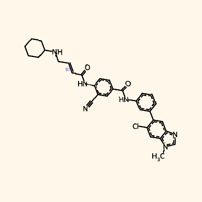 Cn1cnc2cc(-c3cccc(NC(=O)c4ccc(NC(=O)/C=C/CNC5CCCCC5)c(C#N)c4)c3)c(Cl)cc21